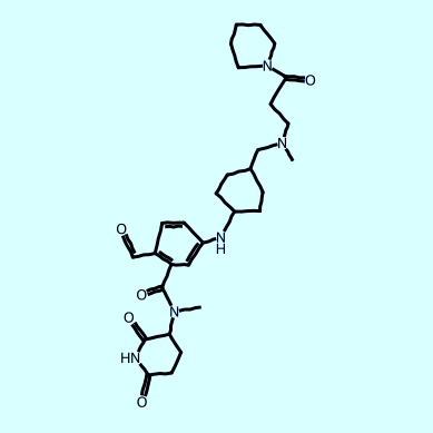 CN(CCC(=O)N1CCCCC1)CC1CCC(Nc2ccc(C=O)c(C(=O)N(C)C3CCC(=O)NC3=O)c2)CC1